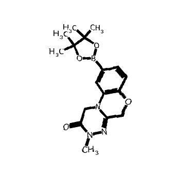 CN1N=C2COc3ccc(B4OC(C)(C)C(C)(C)O4)cc3N2CC1=O